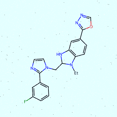 CCN1c2ccc(-c3nnco3)cc2NC1Cn1ccnc1-c1cccc(F)c1